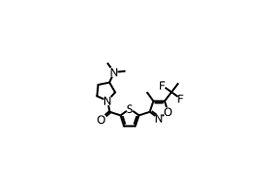 Cc1c(-c2ccc(C(=O)N3CCC(N(C)C)C3)s2)noc1C(C)(F)F